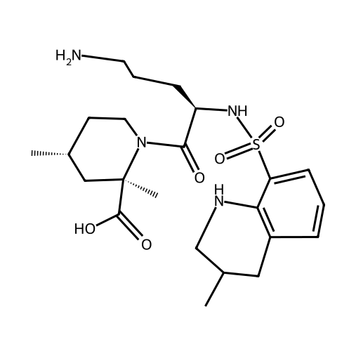 CC1CNc2c(cccc2S(=O)(=O)N[C@H](CCCN)C(=O)N2CC[C@@H](C)C[C@]2(C)C(=O)O)C1